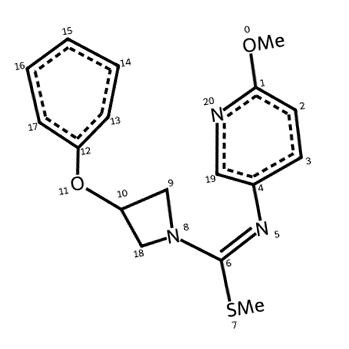 COc1ccc(/N=C(/SC)N2CC(Oc3ccccc3)C2)cn1